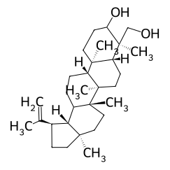 C=C(C)[C@@H]1CC[C@]2(C)CC[C@]3(C)C(CC[C@@H]4[C@@]5(C)CCC(O)[C@@](C)(CO)[C@@H]5CC[C@]43C)[C@@H]12